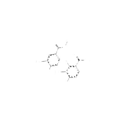 COC(=O)c1ccc(O)c(O)c1.Cc1c(C(=O)O)ccc(O)c1O